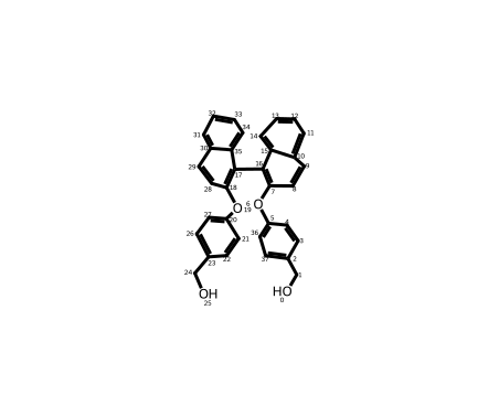 OCc1ccc(Oc2ccc3ccccc3c2-c2c(Oc3ccc(CO)cc3)ccc3ccccc23)cc1